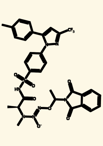 Cc1ccc(-c2cc(C(F)(F)F)nn2-c2ccc(S(=O)(=O)NC(=O)[C@H](C)N(C)/[N+]([O-])=N/OC(C)N3C(=O)c4ccccc4C3=O)cc2)cc1